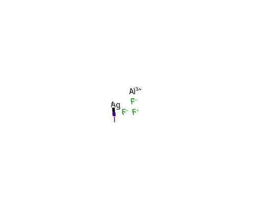 [Ag][I].[Al+3].[F-].[F-].[F-]